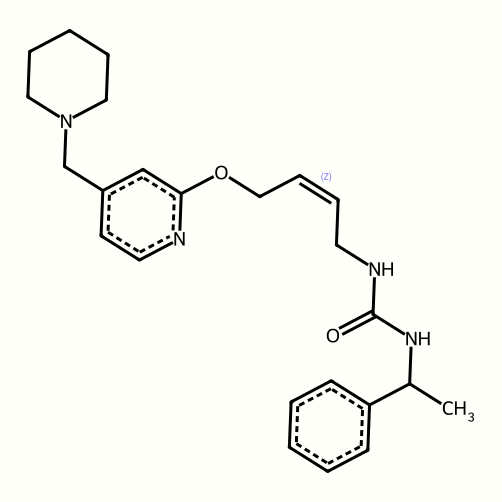 CC(NC(=O)NC/C=C\COc1cc(CN2CCCCC2)ccn1)c1ccccc1